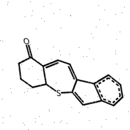 O=C1CCCC2SC3=Cc4ccccc4C3=CC=C12